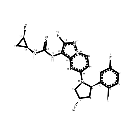 Fc1ccc(F)c([C@H]2C[C@H](F)CN2c2ccn3nc(F)c(NC(=S)N[C@H]4C[C@H]4F)c3n2)c1